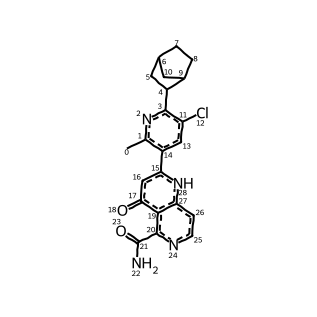 Cc1nc(C2CC3CCC2C3)c(Cl)cc1-c1cc(=O)c2c(C(N)=O)nccc2[nH]1